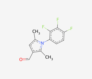 Cc1cc(C=O)c(C)n1-c1ccc(F)c(F)c1F